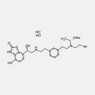 CO[C@@H](C)N(CCc1cccc(CCNC[C@H](O)c2ccc(O)c3[nH]c(=O)sc23)c1)CCC(C)C.Cl.Cl